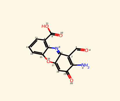 Nc1c(C=O)c2nc3c(C(=O)O)cccc3oc-2cc1=O